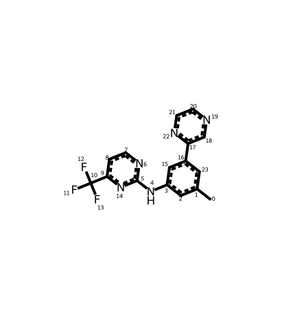 Cc1cc(Nc2nccc(C(F)(F)F)n2)cc(-c2cnccn2)c1